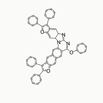 C1=c2oc(-c3ccccc3)c(-c3ccccc3)c2=CC2N=C3N=C(Oc4ccccc4)c4cc5cc6oc(-c7ccccc7)c(-c7ccccc7)c6cc5cc4N3C12